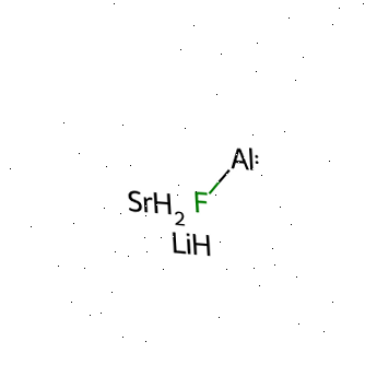 [F][Al].[LiH].[SrH2]